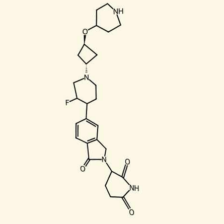 O=C1CCC(N2Cc3cc(C4CCN([C@H]5C[C@H](OC6CCNCC6)C5)CC4F)ccc3C2=O)C(=O)N1